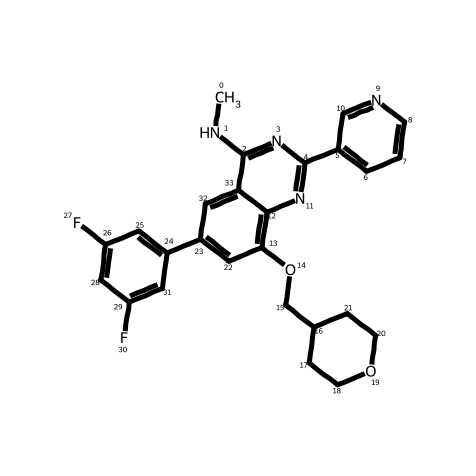 CNc1nc(-c2cccnc2)nc2c(OCC3CCOCC3)cc(-c3cc(F)cc(F)c3)cc12